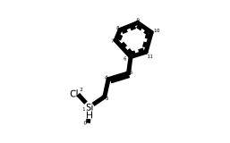 C[SiH](Cl)CC=Cc1ccccc1